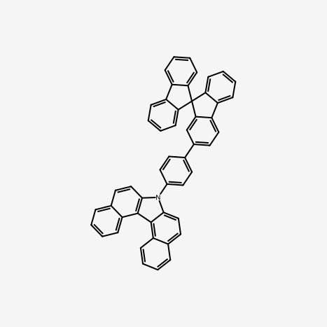 c1ccc2c(c1)-c1ccccc1C21c2ccccc2-c2ccc(-c3ccc(-n4c5ccc6ccccc6c5c5c6ccccc6ccc54)cc3)cc21